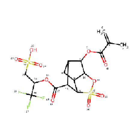 C=C(C)C(=O)OC1C2CC3C1OS(=O)(=O)C3C2C(=O)OC(CS(=O)(=O)O)C(F)(F)F